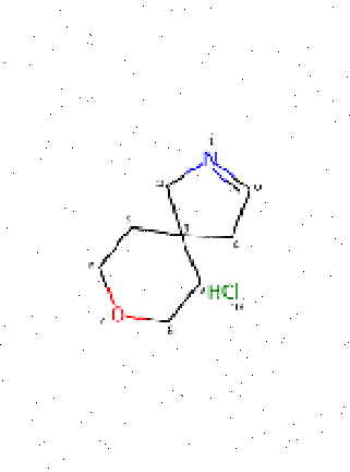 C1=NCC2(C1)CCOCC2.Cl